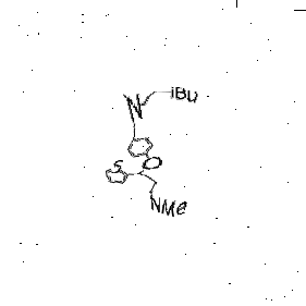 CCC(C)CCN(C)Cc1ccc(OC(CCNC)c2cccs2)cc1